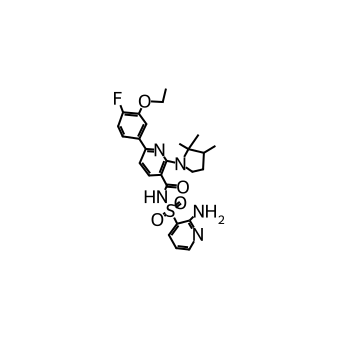 CCOc1cc(-c2ccc(C(=O)NS(=O)(=O)c3cccnc3N)c(N3CCC(C)C3(C)C)n2)ccc1F